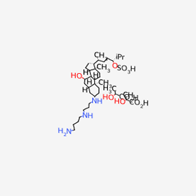 CC(C)[C@@H](CC[C@@H](C)[C@H]1CC[C@H]2[C@@H]3[C@H](O)C[C@H]4C[C@@H](NCCCNCCCCN)CC[C@]4(C)[C@H]3CC[C@]12C)OS(=O)(=O)O.C[C@H](O)C(=O)O.C[C@H](O)C(=O)O